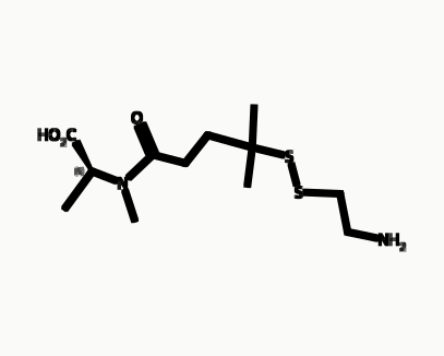 C[C@@H](C(=O)O)N(C)C(=O)CCC(C)(C)SSCCN